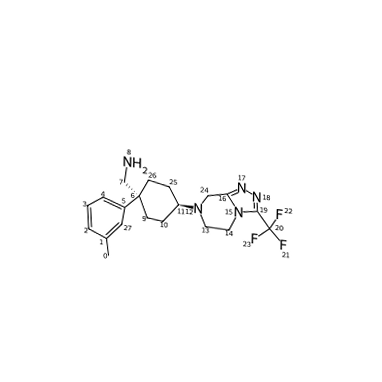 Cc1cccc([C@]2(CN)CC[C@H](N3CCn4c(nnc4C(F)(F)F)C3)CC2)c1